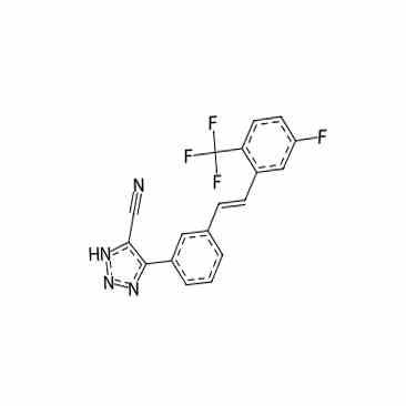 N#Cc1[nH]nnc1-c1cccc(/C=C/c2cc(F)ccc2C(F)(F)F)c1